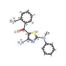 CCN(c1ccccc1)c1nc(N)c(C(=O)c2ccccc2[N+](=O)[O-])s1